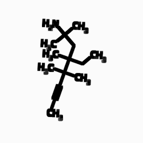 CC#CC(C)(C)C(C)(CC)CC(C)(C)N